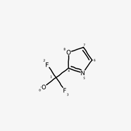 [O]C(F)(F)c1ncco1